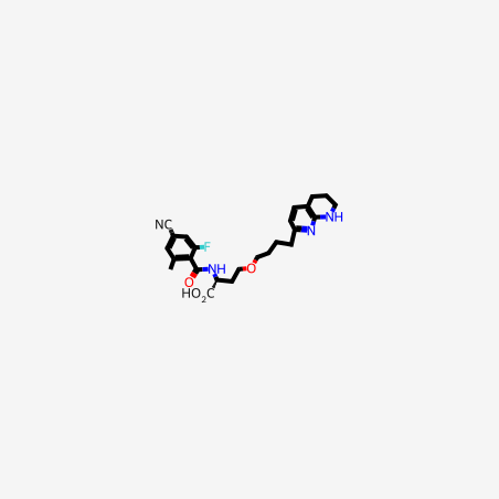 Cc1cc(C#N)cc(F)c1C(=O)N[C@@H](CCOCCCCc1ccc2c(n1)NCCC2)C(=O)O